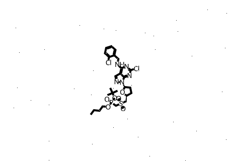 CCCCOP(=O)(CS(=O)(=O)C[C@@H]1CC[C@H](n2ncc3c(NCc4ccccc4Cl)nc(Cl)nc32)O1)OC(C)(C)C